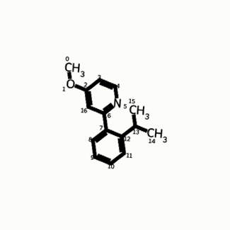 COc1ccnc(-c2ccccc2C(C)C)c1